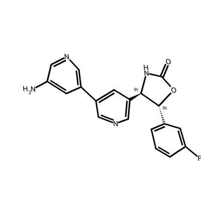 Nc1cncc(-c2cncc([C@H]3NC(=O)O[C@@H]3c3cccc(F)c3)c2)c1